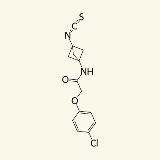 O=C(COc1ccc(Cl)cc1)NC12CC(N=C=S)(C1)C2